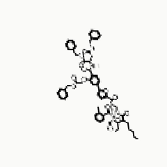 CCCCCC(C(=O)NCNC(=O)c1ccc(-c2ccc(C(=O)NC(CC(=O)OCc3ccccc3)C(=O)OCc3ccccc3)c(OCC(=O)OCc3ccccc3)c2)o1)C(CC)N(C=O)OC(=O)c1ccccc1C